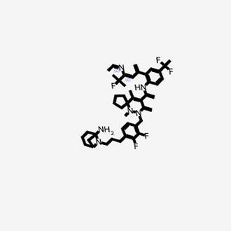 C=C(Nc1ccc(C(C)(F)F)cc1C(=C)/C=C(\N=C/C)C(C)(C)F)C1=C(C)C2(CCCC2)N(C)N(Cc2ccc(CCCN3C4CCCC3(N)C4)c(F)c2F)C1=C